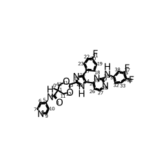 CC1(C(=O)Nc2ccncc2)COC(c2nc(-c3ccc(F)cc3)c(-c3ccnc(Nc4ccc(F)c(F)c4)n3)[nH]2)OC1